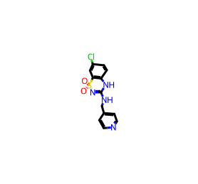 O=S1(=O)N=C(NCc2ccncc2)Nc2ccc(Cl)cc21